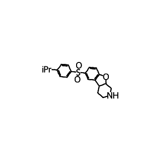 CC(C)c1ccc(S(=O)(=O)c2ccc3c(c2)C2CCNCC2O3)cc1